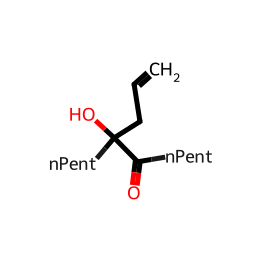 C=CCC(O)(CCCCC)C(=O)CCCCC